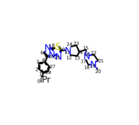 CC(C)c1ccc(-c2cnc3sc(N4CCC(CN5CCN(C)CC5)CC4)nn23)cc1